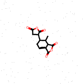 CC1C2C(=O)OC(=O)C2=CCC1C1CC(=O)OC1=O